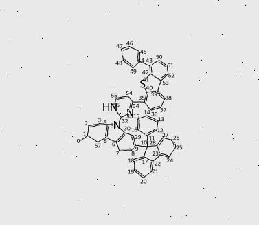 CC1C=Cc2c(c3ccc(C4(c5ccccc5)c5ccccc5-c5ccccc54)cc3n2C2N=C(c3cccc4c3sc3c(-c5ccccc5)cccc34)C=CN2)C1